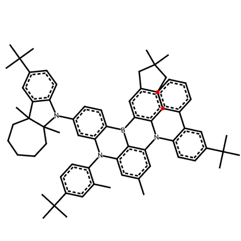 Cc1cc2c3c(c1)N(c1ccc(C(C)(C)C)cc1-c1ccccc1)c1cc4c(cc1B3c1ccc(N3c5ccc(C(C)(C)C)cc5C5(C)CCCCCC35C)cc1N2c1ccc(C(C)(C)C)cc1C)CC(C)(C)C4